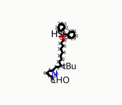 CC(C)(C)C(C=Cc1cccc(C=O)n1)CCCCCCCCO[SiH](c1ccccc1)c1ccccc1